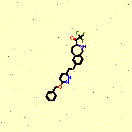 O=C(C1CCc2cc(CCc3ccc(OCc4ccccc4)nn3)ccc2CN1)C(F)(F)F